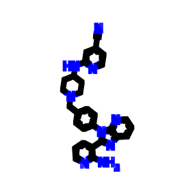 N#Cc1ccnc(NC2CCN(Cc3ccc(-n4c(-c5cccnc5N)nc5cccnc54)cc3)CC2)c1